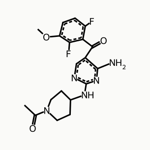 COc1ccc(F)c(C(=O)c2cnc(NC3CCN(C(C)=O)CC3)nc2N)c1F